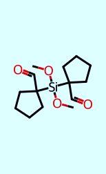 CO[Si](OC)(C1(C=O)CCCC1)C1(C=O)CCCC1